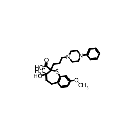 COc1ccc2c(c1)SC(CCCN1CCN(c3ccccc3)CC1)(C(=O)O)C(C)(O)CC2